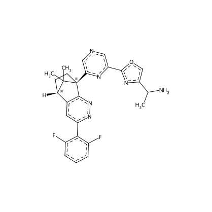 CC(N)c1coc(-c2cncc([C@@]34CC[C@@H](c5cc(-c6c(F)cccc6F)nnc53)C4(C)C)n2)n1